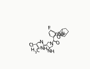 CCCCN1C2CCC1CC(Oc1cc(F)ccc1C(=O)N1CC(=N)/C(=C3/N=CC(Cl)=C(C)N3)C1)C2